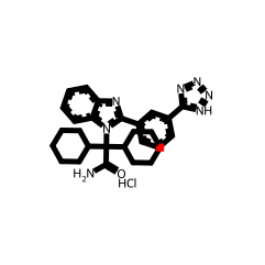 Cl.NC(=O)C(C1CCCCC1)(C1CCCCC1)n1c(-c2cccc(-c3nnn[nH]3)c2)nc2ccccc21